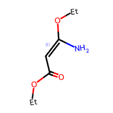 CCOC(=O)/C=C(\N)OCC